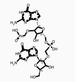 Nc1nc2c(ncn2[C@@H]2O[C@H](COP(=O)(O)CO[C@H]3C(O)[C@@H](CO)O[C@H]3n3cnc4c(=O)[nH]c(N)nc43)C(O)C2OC[PH](=O)O)c(=O)[nH]1